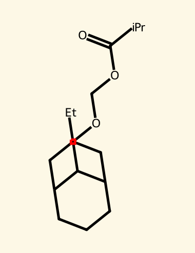 CCC1CC2CCCC(C1)C2COCOC(=O)C(C)C